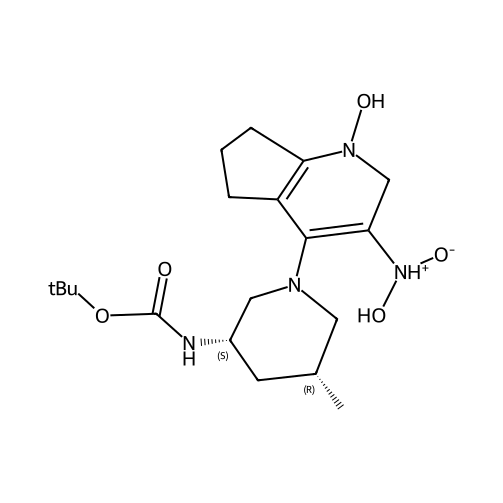 C[C@@H]1C[C@H](NC(=O)OC(C)(C)C)CN(C2=C([NH+]([O-])O)CN(O)C3=C2CCC3)C1